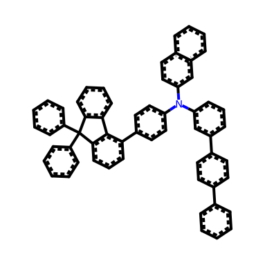 c1ccc(-c2ccc(-c3cccc(N(c4ccc(-c5cccc6c5-c5ccccc5C6(c5ccccc5)c5ccccc5)cc4)c4ccc5ccccc5c4)c3)cc2)cc1